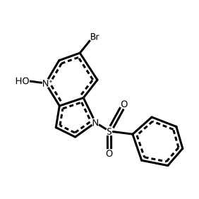 O=S(=O)(c1ccccc1)n1ccc2c1cc(Br)c[n+]2O